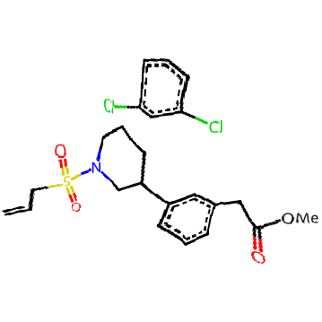 C=CCS(=O)(=O)N1CCCC(c2cccc(CC(=O)OC)c2)C1.Clc1cccc(Cl)c1